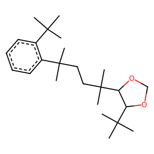 CC(C)(C)c1ccccc1C(C)(C)CCC(C)(C)C1OCOC1C(C)(C)C